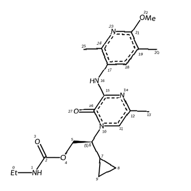 CCNC(=O)OC[C@H](C1CC1)n1cc(C)nc(Nc2cc(C)c(OC)nc2C)c1=O